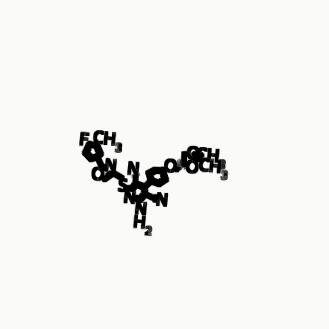 Cc1cc(-c2nc(CSc3nc(N)c(C#N)c(-c4ccc(OC[C@@H]5COC(C)(C)O5)cc4)c3C#N)co2)ccc1F